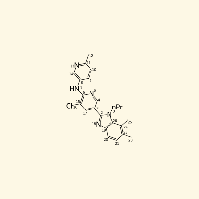 CCCn1c(-c2cnc(Nc3ccc(C)nc3)c(Cl)c2)nc2ccc(C)c(C)c21